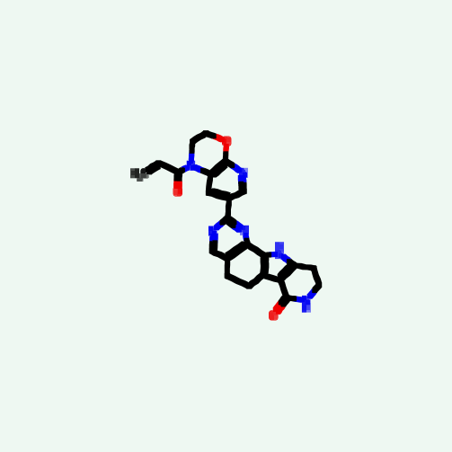 C=CC(=O)N1CCOc2ncc(-c3ncc4c(n3)-c3[nH]c5c(c3CC4)C(=O)NCC5)cc21